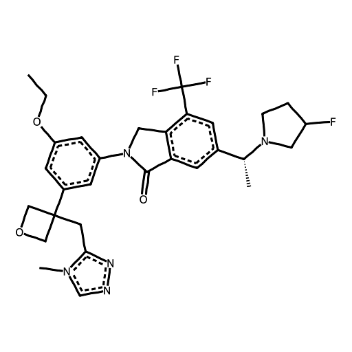 CCOc1cc(N2Cc3c(cc([C@@H](C)N4CCC(F)C4)cc3C(F)(F)F)C2=O)cc(C2(Cc3nncn3C)COC2)c1